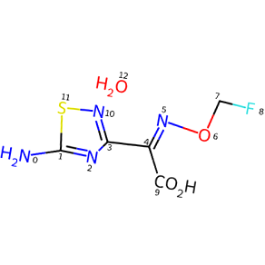 Nc1nc(C(=NOCF)C(=O)O)ns1.O